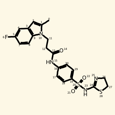 Cc1cc2cc(F)ccc2n1CCC(=O)Nc1ccc(S(=O)(=O)NC2=NCCS2)cc1